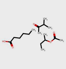 CC(=O)C(C)C.CCC(C)OC(C)=O.CCCCCC(=O)O